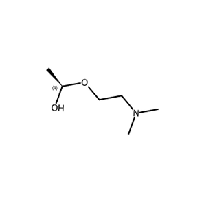 C[C@H](O)OCCN(C)C